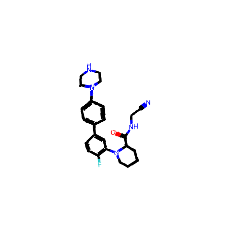 N#CCNC(=O)C1CCCCN1c1cc(-c2ccc(N3CCNCC3)cc2)ccc1F